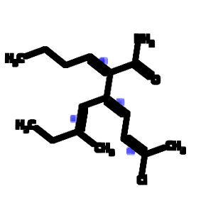 CCC/C=C(/C(N)=O)C(=C/C=C(\C)Cl)/C=C(\C)CC